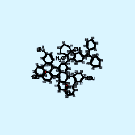 CC(C)(C)c1ccc(N2c3cc(C(C)(C)C)ccc3B3c4ccc(C(C)(C)C)cc4N(c4ccc(C(C)(C)C)cc4-c4ccccc4)c4cc(N5c6ccc(N(c7ccccc7)c7ccccc7)cc6C6(C)CCCCC56C)cc2c43)c(-c2ccccc2)c1